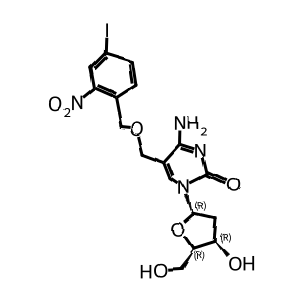 Nc1nc(=O)n([C@H]2C[C@@H](O)[C@@H](CO)O2)cc1COCc1ccc(I)cc1[N+](=O)[O-]